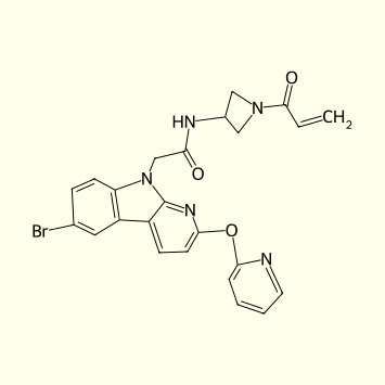 C=CC(=O)N1CC(NC(=O)Cn2c3ccc(Br)cc3c3ccc(Oc4ccccn4)nc32)C1